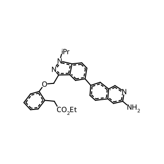 CCOC(=O)Cc1ccccc1OCc1nn(C(C)C)c2ccc(-c3ccc4cc(N)ncc4c3)cc12